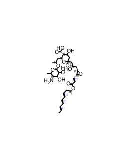 C/C=C/C=C/C=C/C[C@@H](C)OC(=O)/C=C/[C@H]1O[C@@H]1C[C@H](O)C[C@]1(O)C[C@H](O)[C@@H](C(=O)O)[C@H](C[C@H](C)O[C@@H]2OC(C)[C@@H](N)C(O)C2O)O1